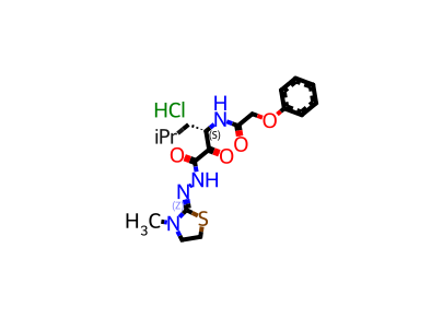 CC(C)C[C@H](NC(=O)COc1ccccc1)C(=O)C(=O)N/N=C1\SCCN1C.Cl